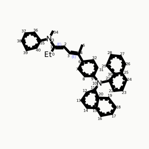 CC/C(=C\C=C(/C)c1ccc(N(c2cccc3ccccc23)c2cccc3ccccc23)cc1)N(C)c1ccccc1